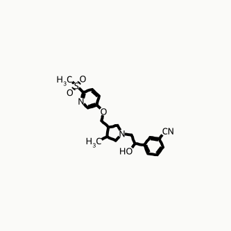 CC1CN(CC(O)c2cccc(C#N)c2)CC1COc1ccc(S(C)(=O)=O)nc1